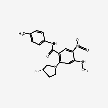 CNc1cc(N2CC[C@H](F)C2)c(C(=O)Nc2ccc(C)cc2)cc1[N+](=O)[O-]